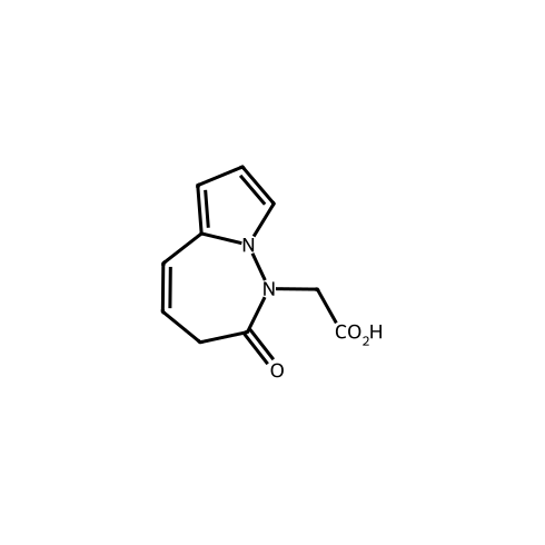 O=C(O)CN1C(=O)CC=Cc2cccn21